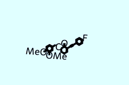 COc1ccc(C=C=C2CCC=C(C#Cc3ccc(F)cc3)C2=O)cc1OC